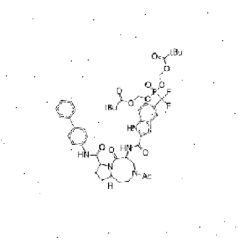 CC(=O)N1CC[C@H]2CC[C@@H](C(=O)Nc3ccc(-c4ccccc4)cc3)N2C(=O)[C@@H](NC(=O)c2cc3cc(C(F)(F)P(=O)(OCOC(=O)C(C)(C)C)OCOC(=O)C(C)(C)C)ccc3[nH]2)C1